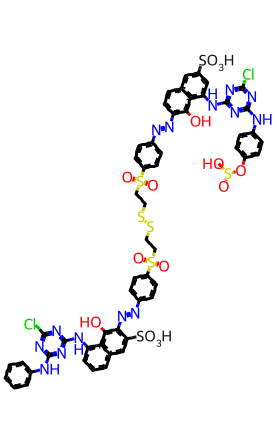 O=S(O)Oc1ccc(Nc2nc(Cl)nc(Nc3cc(S(=O)(=O)O)cc4ccc(N=Nc5ccc(S(=O)(=O)CCSSCCS(=O)(=O)c6ccc(N=Nc7c(S(=O)(=O)O)cc8cccc(Nc9nc(Cl)nc(Nc%10ccccc%10)n9)c8c7O)cc6)cc5)c(O)c34)n2)cc1